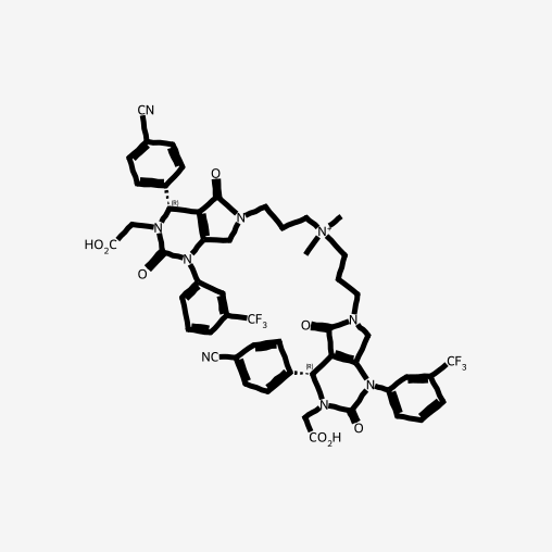 C[N+](C)(CCCN1CC2=C(C1=O)[C@@H](c1ccc(C#N)cc1)N(CC(=O)O)C(=O)N2c1cccc(C(F)(F)F)c1)CCCN1CC2=C(C1=O)[C@@H](c1ccc(C#N)cc1)N(CC(=O)O)C(=O)N2c1cccc(C(F)(F)F)c1